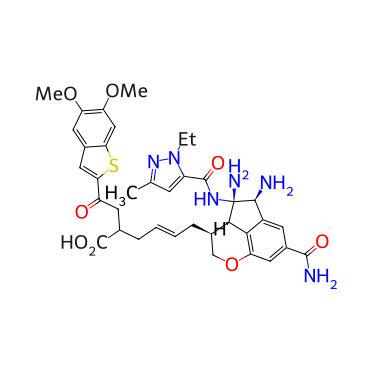 CCn1nc(C)cc1C(=O)N[C@@]1(N)[C@@H]2c3c(cc(C(N)=O)cc3[C@@H]1N)OC[C@H]2C/C=C/CC(CC(=O)c1cc2cc(OC)c(OC)cc2s1)C(=O)O